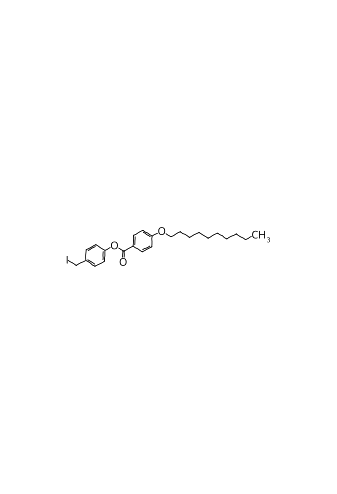 CCCCCCCCCCOc1ccc(C(=O)Oc2ccc(CI)cc2)cc1